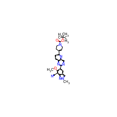 COc1c(-c2ncc3nc(C4=CCN(C(=O)OC(C)(C)C)CC4)ccc3n2)cc2cn(C)nc2c1C#N